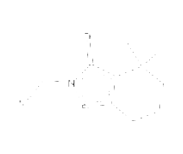 CC1(C)CCCc2sn(CCl)c(=O)c21